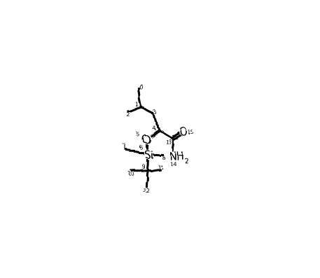 CC(C)CC(O[Si](C)(C)C(C)(C)C)C(N)=O